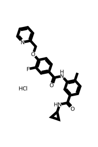 Cc1ccc(C(=O)NC2CC2)cc1NC(=O)c1ccc(OCc2ccccn2)c(F)c1.Cl